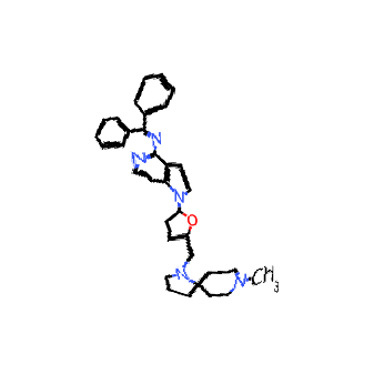 CN1CCC2(CCCN2CC2CCC(n3ccc4c(N=C(c5ccccc5)c5ccccc5)nccc43)O2)CC1